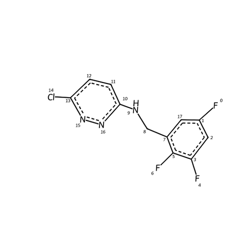 Fc1cc(F)c(F)c(CNc2ccc(Cl)nn2)c1